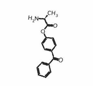 C[C@H](N)C(=O)Oc1ccc(C(=O)c2ccccc2)cc1